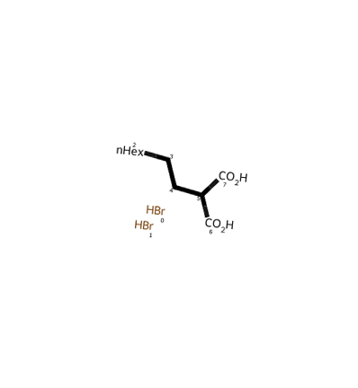 Br.Br.CCCCCCCCC(C(=O)O)C(=O)O